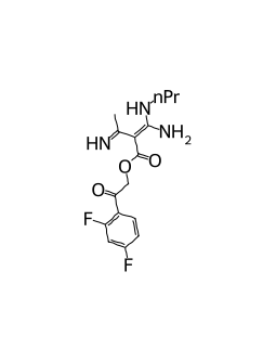 CCCN/C(N)=C(\C(C)=N)C(=O)OCC(=O)c1ccc(F)cc1F